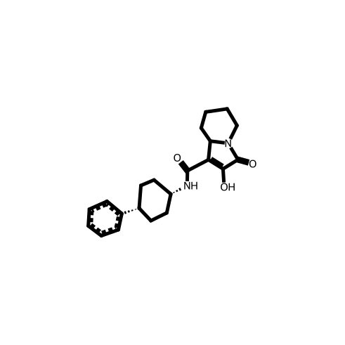 O=C(N[C@H]1CC[C@@H](c2ccccc2)CC1)C1=C(O)C(=O)N2CCCCC12